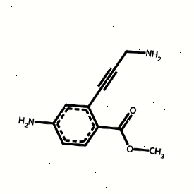 COC(=O)c1ccc(N)cc1C#CCN